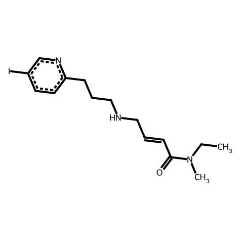 CCN(C)C(=O)/C=C/CNCCCc1ccc(I)cn1